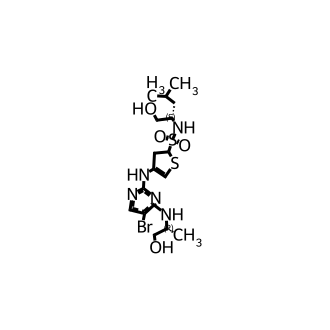 CC(C)C[C@@H](CO)NS(=O)(=O)C1CC(Nc2ncc(Br)c(N[C@H](C)CO)n2)=CS1